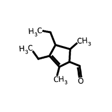 CCC1=C(C)C(C=O)C(C)C1CC